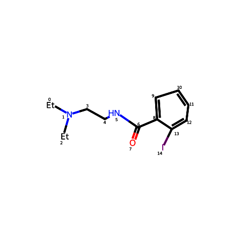 CCN(CC)CCNC(=O)c1ccccc1I